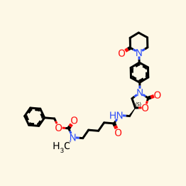 CN(CCCCC(=O)NC[C@H]1CN(c2ccc(N3CCCCC3=O)cc2)C(=O)O1)C(=O)OCc1ccccc1